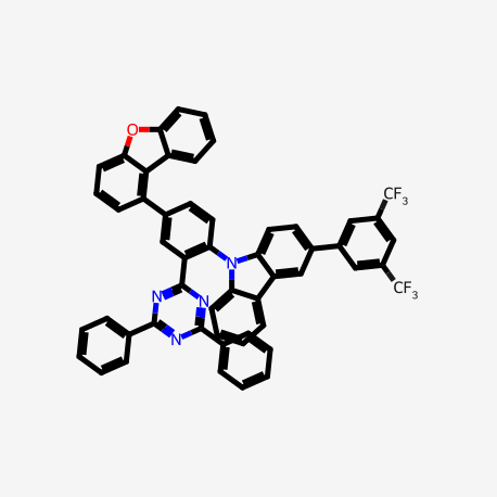 FC(F)(F)c1cc(-c2ccc3c(c2)c2ccccc2n3-c2ccc(-c3cccc4oc5ccccc5c34)cc2-c2nc(-c3ccccc3)nc(-c3ccccc3)n2)cc(C(F)(F)F)c1